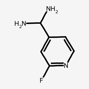 NC(N)c1ccnc(F)c1